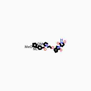 COc1ccc(OC)c(C2(C#N)CCC(C(=O)[C@@H]3CCCN3CCCOc3cccc4c3CN(C3CCC(=O)NC3=O)C4=O)CC2)c1